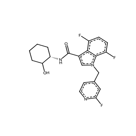 O=C(N[C@H]1CCCCC1O)c1cn(Cc2ccnc(F)c2)c2c(F)ccc(F)c12